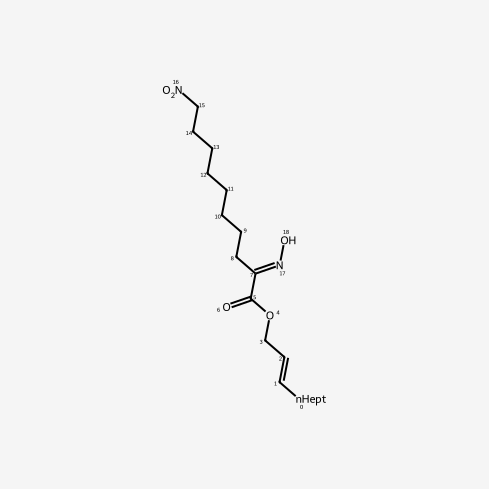 CCCCCCCC=CCOC(=O)C(CCCCCCCC[N+](=O)[O-])=NO